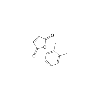 Cc1ccccc1C.O=C1C=CC(=O)O1